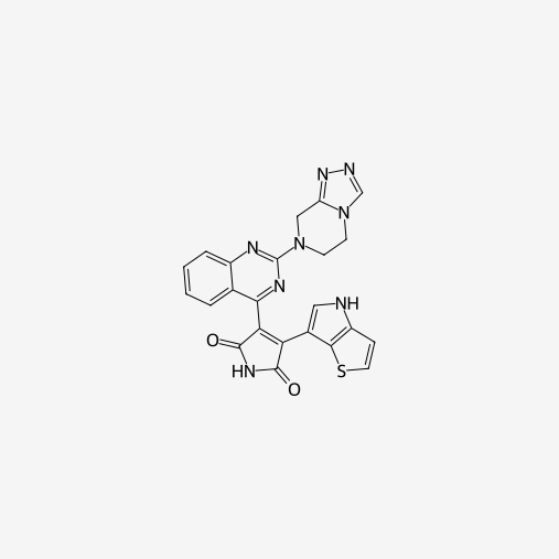 O=C1NC(=O)C(c2c[nH]c3ccsc23)=C1c1nc(N2CCn3cnnc3C2)nc2ccccc12